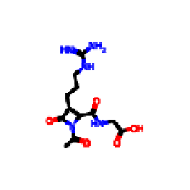 CC(=O)N1C(=O)C(CCCNC(=N)N)C1C(=O)NCC(=O)O